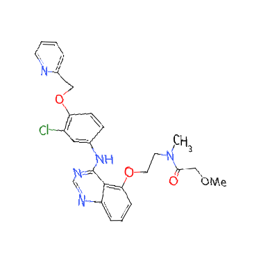 COCC(=O)N(C)CCOc1cccc2ncnc(Nc3ccc(OCc4ccccn4)c(Cl)c3)c12